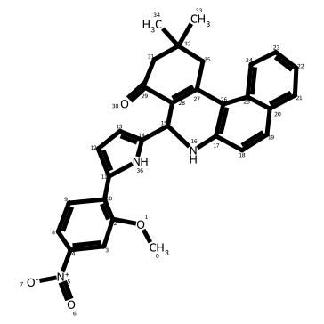 COc1cc([N+](=O)[O-])ccc1-c1ccc(C2Nc3ccc4ccccc4c3C3=C2C(=O)CC(C)(C)C3)[nH]1